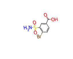 NS(=O)(=O)c1cc(C(=O)O)ccc1Br